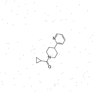 O=C(C1CC1)N1CCC(c2ccccn2)CC1